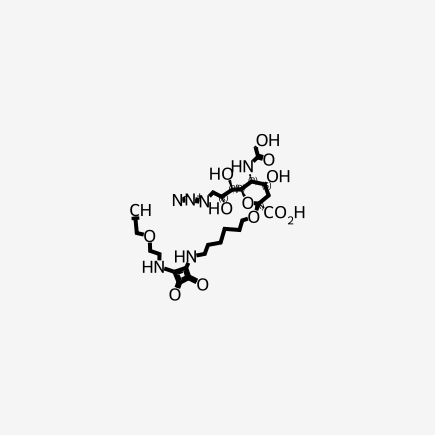 C#CCOCCNc1c(NCCCCCCO[C@]2(C(=O)O)C[C@H](O)[C@@H](NC(=O)CO)[C@H]([C@H](O)[C@H](O)CN=[N+]=[N-])O2)c(=O)c1=O